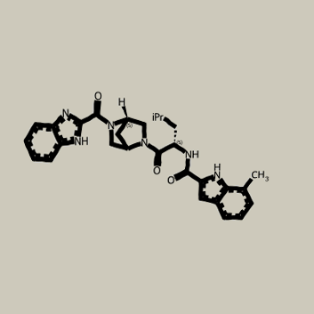 Cc1cccc2cc(C(=O)N[C@@H](CC(C)C)C(=O)N3C[C@@H]4CC3CN4C(=O)c3nc4ccccc4[nH]3)[nH]c12